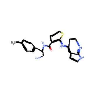 Cc1ccc(C(CN)NC(=O)c2ccsc2Nc2ccnc3[nH]ccc23)cc1